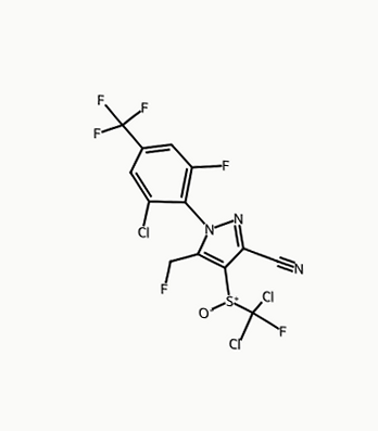 N#Cc1nn(-c2c(F)cc(C(F)(F)F)cc2Cl)c(CF)c1[S+]([O-])C(F)(Cl)Cl